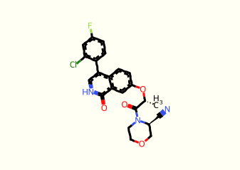 C[C@@H](Oc1ccc2c(-c3ccc(F)cc3Cl)c[nH]c(=O)c2c1)C(=O)N1CCOC[C@@H]1C#N